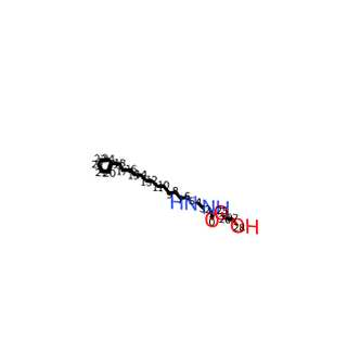 O=C(NCCNCCCCCCCCCCCCCc1ccccc1)OCCO